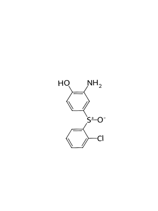 Nc1cc([S+]([O-])c2ccccc2Cl)ccc1O